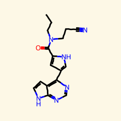 CCCN(CCC#N)C(=O)c1cc(-c2ncnc3[nH]ccc23)c[nH]1